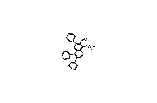 O=Ic1c(-c2ccccc2)cc2c(-c3ccccc3)c(-c3ccccc3)ccc2c1C(=O)O